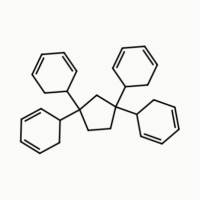 C1=CCC(C2(C3C=CC=CC3)CCC(C3C=CC=CC3)(C3C=CC=CC3)C2)C=C1